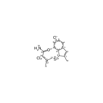 CC1=Cc2ccccc2[CH]1[Ti+2].C[Si](C)=CC(N)=O.[Cl-].[Cl-]